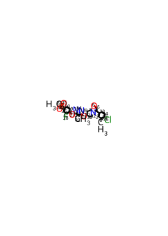 Cc1cc(C(C=O)N2CCC(Oc3ncnc(Oc4ccc(S(C)(=O)=O)cc4F)c3C)CC2)ccc1Cl